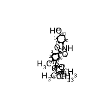 Cc1ccc(S(=O)(=O)NC2CCC(O)CC2)cc1B1OC(C)(C)C(C)(C)O1